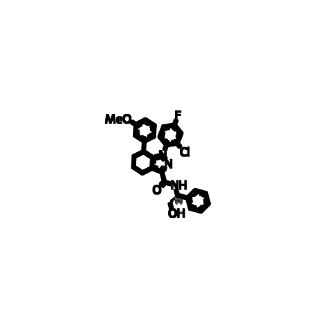 COc1cccc(C2CCCc3c(C(=O)N[C@@H](CO)c4ccccc4)nn(-c4ccc(F)cc4Cl)c32)c1